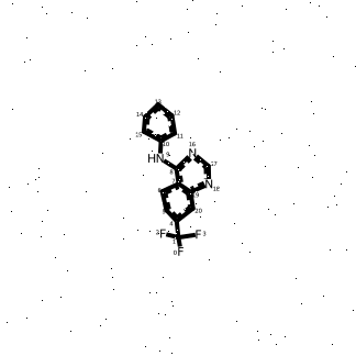 FC(F)(F)c1ccc2c(Nc3ccccc3)ncnc2c1